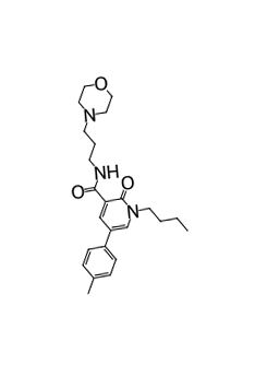 CCCCn1cc(-c2ccc(C)cc2)cc(C(=O)NCCCN2CCOCC2)c1=O